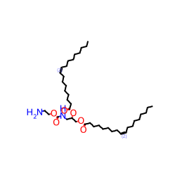 CCCCCCCC/C=C\CCCCCCCC(=O)OCC(CNC(=O)OCCN)OC(=O)CCCCCCC/C=C\CCCCCCCC